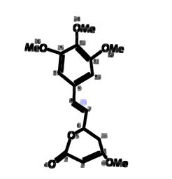 COC1=CC(=O)OC(/C=C/c2cc(OC)c(OC)c(OC)c2)C1